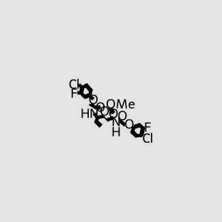 C=CC(NC(=O)COc1ccc(Cl)c(F)c1)[C@H](CCNC(=O)COc1ccc(Cl)c(F)c1)OC(=O)OC